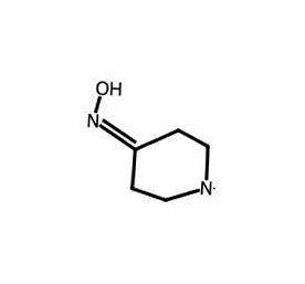 ON=C1CC[N]CC1